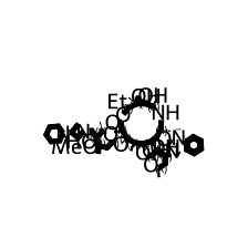 CC[C@H]1OC(=O)[C@H](C)[C@@H](O[C@H]2C[C@@](C)(OC)[C@](O)(CN3CC(N4CCCCC4)C3)[C@H](C)O2)[C@H](C)[C@@H](O[C@@H]2O[C@H](C)C[C@H](N(C)C(=O)N(C)c3ccccc3)[C@H]2O)[C@](C)(O)C[C@@H](C)CN[C@H](C)[C@@H](O)[C@]1(C)O